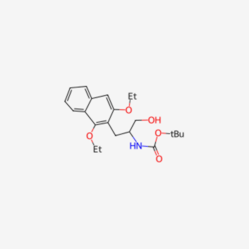 CCOc1cc2ccccc2c(OCC)c1CC(CO)NC(=O)OC(C)(C)C